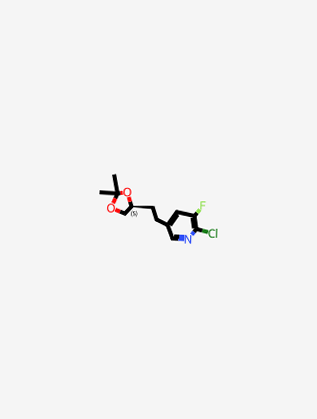 CC1(C)OC[C@H](CCc2cnc(Cl)c(F)c2)O1